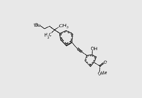 COC(=O)c1ccc(C#Cc2ccc(C(C)(C)CCC(C)(C)C)cc2)c(O)c1